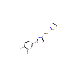 Cc1ccc(-c2nc(CSc3nccs3)co2)cc1C